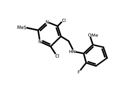 COc1cccc(F)c1NCc1c(Cl)nc(SC)nc1Cl